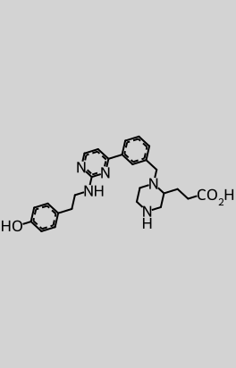 O=C(O)CCC1CNCCN1Cc1cccc(-c2ccnc(NCCc3ccc(O)cc3)n2)c1